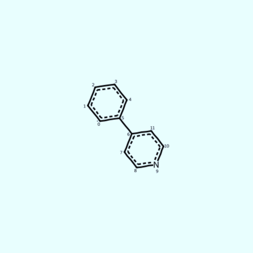 [c]1ccccc1-c1ccncc1